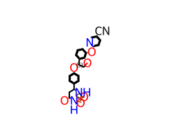 N#Cc1ccc(Oc2cccc3c2OC[C@H]3Oc2ccc(C3CC(=O)NS(=O)(=O)N3)cc2)nc1